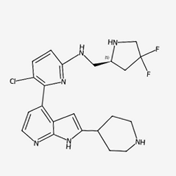 FC1(F)CN[C@H](CNc2ccc(Cl)c(-c3ccnc4[nH]c(C5CCNCC5)cc34)n2)C1